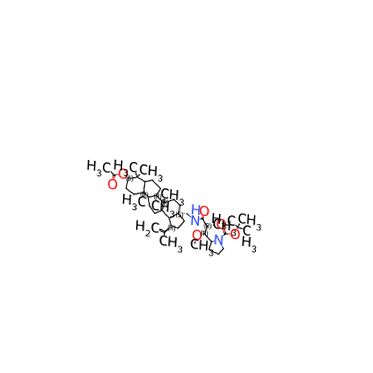 C=C(C)[C@@H]1CC[C@]2(CNC(=O)[C@H](C)[C@@H](OC)C3CCCN3C(=O)OC(C)(C)C)CC[C@]3(C)C(CCC4[C@@]5(C)CC[C@H](OC(C)=O)C(C)(C)C5CC[C@]43C)C12